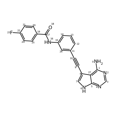 Nc1ncnc2[nH]cc(C#Cc3cccc(NC(=O)c4ccc(F)cc4)c3)c12